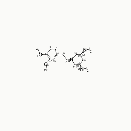 COc1ccc(CCN2C[C@H](N)C[C@H](N)C2)cc1OC